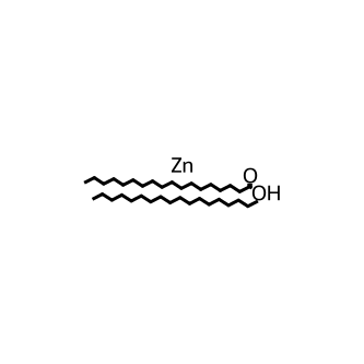 CCCCCCCCCCCCCCCCCC.CCCCCCCCCCCCCCCCCC(=O)O.[Zn]